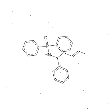 CC=CCC(NP(=O)(c1ccccc1)c1ccccc1)c1ccccc1